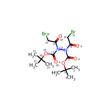 CC(C)(C)OC(=O)N(C(=O)CBr)N(C(=O)CBr)C(=O)OC(C)(C)C